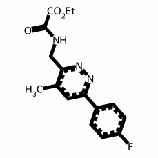 CCOC(=O)C(=O)NCc1nnc(-c2ccc(F)cc2)cc1C